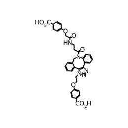 O=C(COc1ccc(C(=O)O)cc1)NCCC(=O)N1Cc2ccccc2-c2c(nnn2CCOc2ccc(C(=O)O)cc2)-c2ccccc21